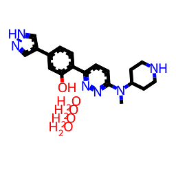 CN(c1ccc(-c2ccc(-c3cn[nH]c3)cc2O)nn1)C1CCNCC1.O.O.O.O